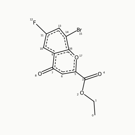 CCOC(=O)c1cc(=O)c2cc(F)cc(Br)c2o1